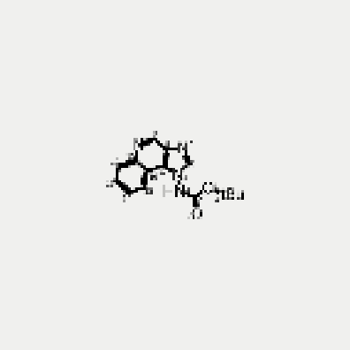 CC(C)(C)OC(=O)Nn1cnc2cnc3ccccc3c21